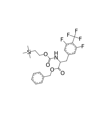 C[Si](C)(C)CCOC(=O)NC(Cc1cc(F)c(C(F)(F)F)c(F)c1)C(=O)OCc1ccccc1